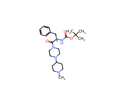 CN1CCC(N2CCN(C(=O)[C@@H](Cc3ccccc3)NC(=O)OC(C)(C)C)CC2)CC1